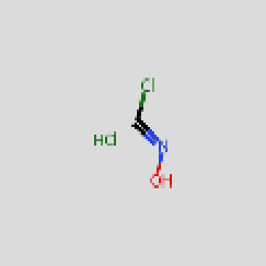 Cl.ON=CCl